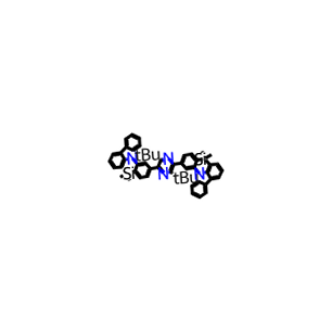 CC(C)(C)c1nc(-c2ccc3c(c2)-n2c4ccccc4c4cccc(c42)[Si]3(C)C)c(C(C)(C)C)nc1-c1ccc2c(c1)-n1c3ccccc3c3cccc(c31)[Si]2(C)C